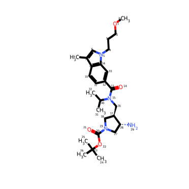 COCCCn1cc(C)c2ccc(C(=O)N(C[C@@H]3CN(C(=O)OC(C)(C)C)C[C@H]3N)C(C)C)cc21